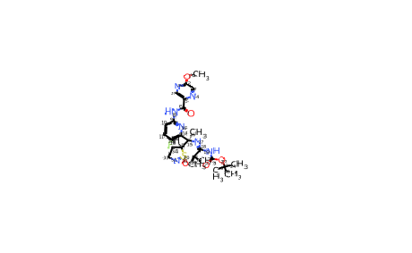 COc1cnc(C(=O)Nc2ccc(F)c([C@@]3(C)N=C(NC(=O)OC(C)(C)C)C(C)(C)[S@@]4(=O)=NCC[C@@H]34)n2)cn1